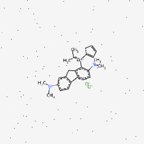 C[C](C)=[Zr+2]([C]1=CC=CC1)[c]1c(N(C)C)ccc2c1Cc1cc(N(C)C)ccc1-2.[Cl-].[Cl-]